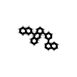 c1cc(-c2cccc3ccccc23)cc(-c2cccc3c(-c4ccc5ccccc5c4)c4ccccc4cc23)c1